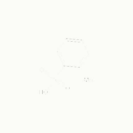 O=S(=O)(O)c1ccccc1.[Mn]